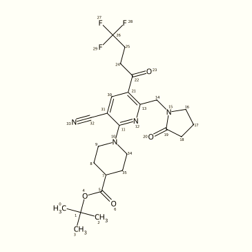 CC(C)(C)OC(=O)C1CCN(c2nc(CN3CCCC3=O)c(C(=O)CCC(F)(F)F)cc2C#N)CC1